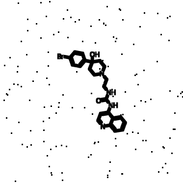 O=C(NCCN1CCC(O)(c2ccc(Br)cc2)CC1)Nc1ccnc2ccccc12